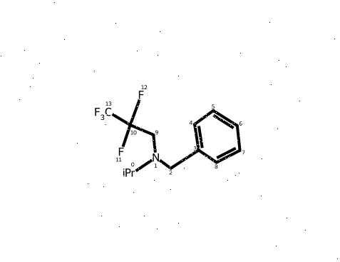 CC(C)N(Cc1ccccc1)CC(F)(F)C(F)(F)F